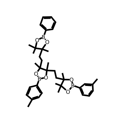 Cc1ccc(B2OC(C)(CCC3(C)OB(c4ccccc4)OC3(C)C)C(C)(CCC3(C)OB(c4cccc(C)c4)OC3(C)C)O2)cc1